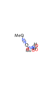 CC[C@H](C)[C@H](NC(=O)c1ccc(N2CCN(CCOC)CC2)cc1)C(=O)N1CC[C@H]2OCC(=O)[C@H]21